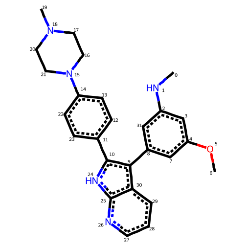 CNc1cc(OC)cc(-c2c(-c3ccc(N4CCN(C)CC4)cc3)[nH]c3ncccc23)c1